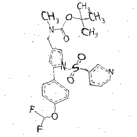 CN(Cc1cc(-c2ccc(OC(F)F)cc2)n(S(=O)(=O)c2cccnc2)c1)C(=O)OC(C)(C)C